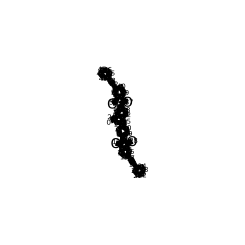 CC1(C)CC(C)(c2ccc(N3C(=O)c4ccc(C#Cc5ccccc5)cc4C3=O)cc2)c2ccc(N3C(=O)c4ccc(C#Cc5ccccc5)cc4C3=O)cc21